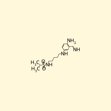 CC(C)S(=O)(=O)NCCCCCNc1ccc(N)c(C=N)c1